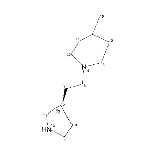 CC1CCN(CC[C@H]2CCNC2)CC1